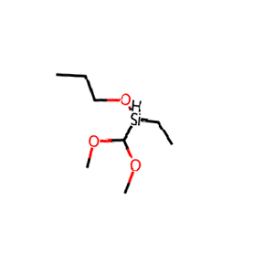 CCCO[SiH](CC)C(OC)OC